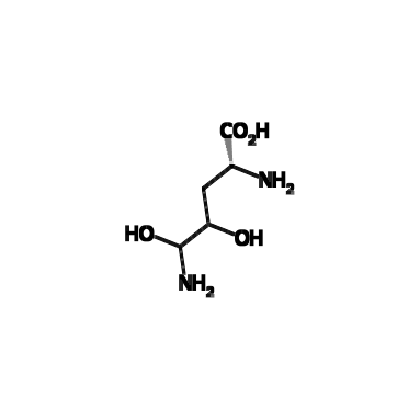 NC(O)C(O)C[C@@H](N)C(=O)O